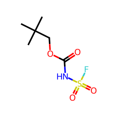 CC(C)(C)COC(=O)NS(=O)(=O)F